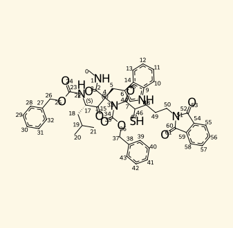 CNC(=O)[C@@](Cc1c[nH]c2ccccc12)(C(=O)[C@H](CC(C)C)NC(=O)OCc1ccccc1)N(C(=O)OCc1ccccc1)C(=O)C(S)CCCN1C(=O)c2ccccc2C1=O